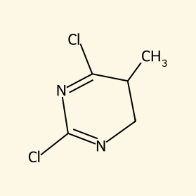 CC1CN=C(Cl)N=C1Cl